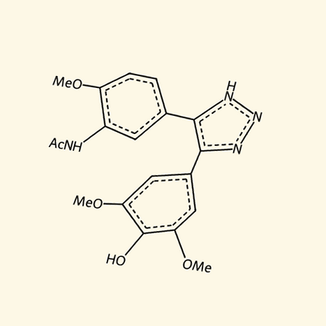 COc1ccc(-c2[nH]nnc2-c2cc(OC)c(O)c(OC)c2)cc1NC(C)=O